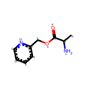 CC(N)C(=O)OCc1ccccn1